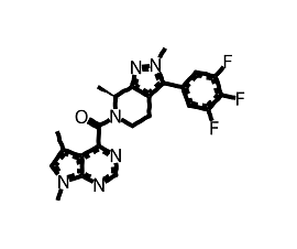 Cc1cn(C)c2ncnc(C(=O)N3CCc4c(nn(C)c4-c4cc(F)c(F)c(F)c4)[C@@H]3C)c12